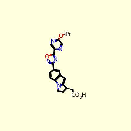 CC(C)Oc1cnc(-c2nc(-c3ccc4c(c3)cc3n4CC[C@@H]3CC(=O)O)no2)cn1